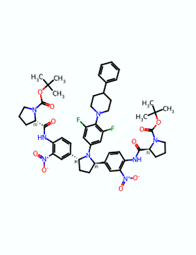 CC(C)(C)OC(=O)N1CCC[C@H]1C(=O)Nc1ccc([C@H]2CC[C@H](c3ccc(NC(=O)[C@@H]4CCCN4C(=O)OC(C)(C)C)c([N+](=O)[O-])c3)N2c2cc(F)c(N3CCC(c4ccccc4)CC3)c(F)c2)cc1[N+](=O)[O-]